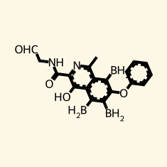 Bc1c(Oc2ccccc2)c(B)c2c(C)nc(C(=O)NCC=O)c(O)c2c1B